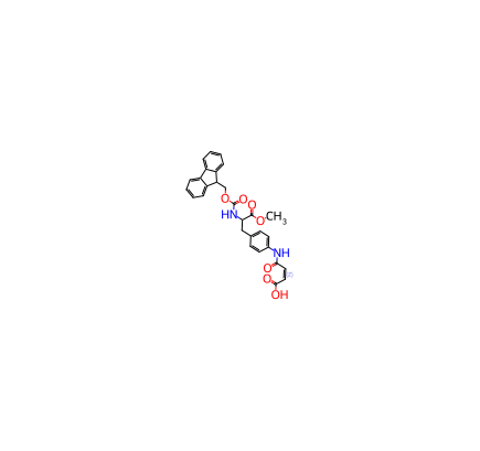 COC(=O)C(Cc1ccc(NC(=O)/C=C\C(=O)O)cc1)NC(=O)OCC1c2ccccc2-c2ccccc21